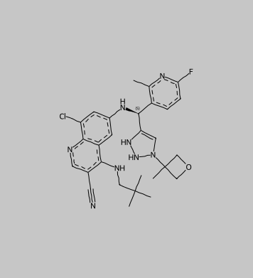 Cc1nc(F)ccc1[C@H](Nc1cc(Cl)c2ncc(C#N)c(NCC(C)(C)C)c2c1)C1=CN(C2(C)COC2)NN1